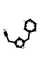 N#C[CH]c1coc(Cc2ccccc2)c1